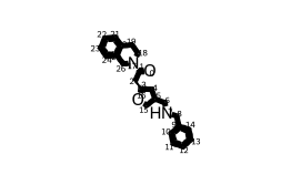 O=C(C[C@H]1CC(CNCc2ccccc2)CO1)N1CCc2ccccc2C1